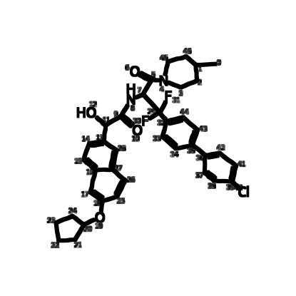 CC1CCN(C(=O)C(NC(=O)C(O)c2ccc3cc(OC4CCCC4)ccc3c2)C(F)(F)c2ccc(-c3ccc(Cl)cc3)cc2)CC1